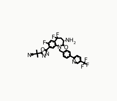 CC(C)(C#N)c1nnc(-c2cc3c(cc2F)C(F)(F)C[C@H](N)C(=O)N3Cc2ccc(-c3ccc(C(F)(F)F)cn3)cc2)o1